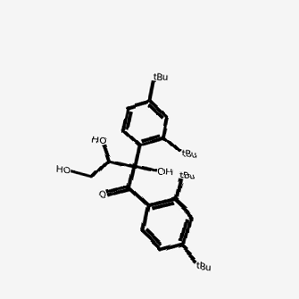 CC(C)(C)c1ccc(C(=O)C(O)(c2ccc(C(C)(C)C)cc2C(C)(C)C)C(O)CO)c(C(C)(C)C)c1